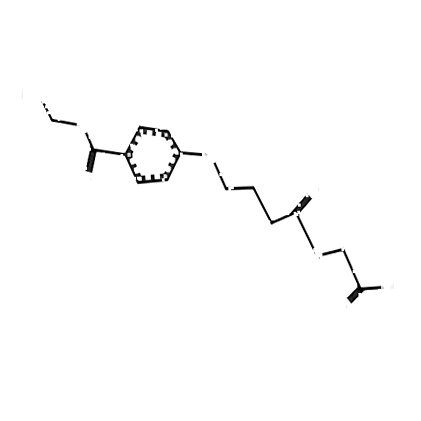 CCOC(=O)c1ccc(OCCCC(=O)NCC(=O)O)cc1